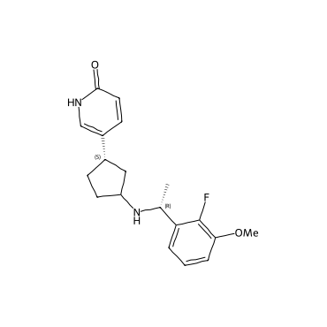 COc1cccc([C@@H](C)NC2CC[C@H](c3ccc(=O)[nH]c3)C2)c1F